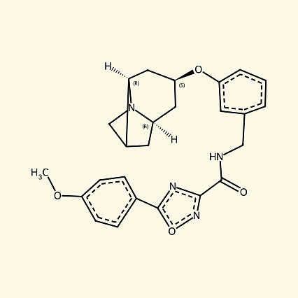 COc1ccc(-c2nc(C(=O)NCc3cccc(O[C@H]4C[C@H]5CC6CN5[C@@H]6C4)c3)no2)cc1